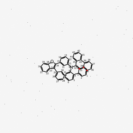 c1ccc(-c2ccccc2N(c2cccc(-c3oc4ccccc4c3-c3ccccc3)c2)c2cc3ccccc3c3ccccc23)cc1